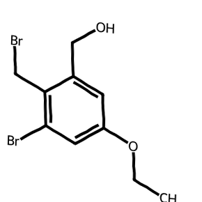 CCOc1cc(Br)c(CBr)c(CO)c1